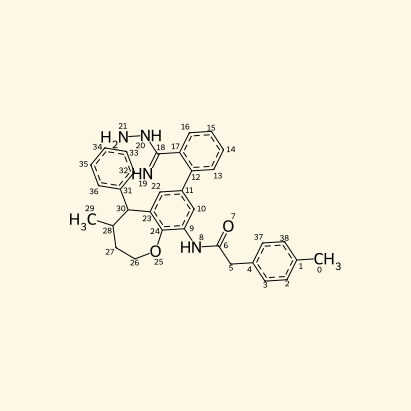 Cc1ccc(CC(=O)Nc2cc(-c3ccccc3C(=N)NN)cc3c2OCCC(C)C3c2ccccc2)cc1